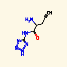 C#CCC(N)C(=O)Nc1nn[nH]n1